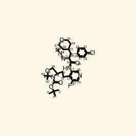 CC(C)(C)OC(=O)N1C(CCc2c(F)cncc2NC(=O)[C@@H](N=[N+]=[N-])[C@@H](c2ccc(Cl)cc2)C2CCOCC2)COC1(C)C